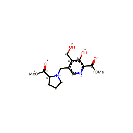 COC(=O)c1ncc(CN2CCCC2C(=O)OC)c(CO)c1O